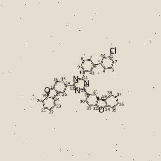 Clc1cccc(-c2cccc(-c3nc(-c4ccc5oc6ccccc6c5c4)nc(-c4ccc5oc6ccccc6c5c4)n3)c2)c1